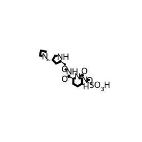 O=C(NOC[C@H]1C[C@H](CN2CCC2)CN1)[C@@H]1CC[C@@H]2CN1C(=O)N2OS(=O)(=O)O